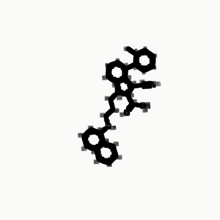 Cc1ccccc1-c1cccc2c1c(C#N)c(C(=O)O)n2CCCOc1cccc2ccccc12